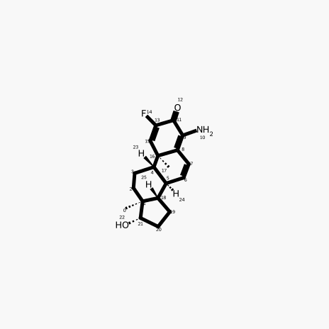 C[C@]12CC[C@H]3[C@@H](C=CC4=C(N)C(=O)C(F)=C[C@@]43C)[C@@H]1CC[C@@H]2O